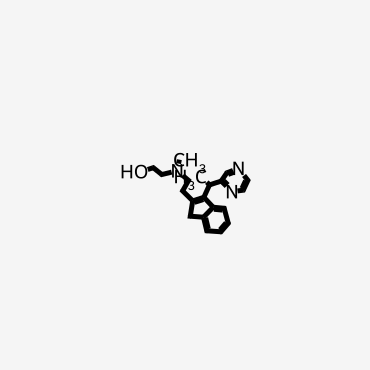 CC(C1=C(CCN(C)CCO)Cc2ccccc21)c1cnccn1